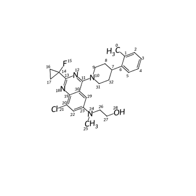 Cc1ccccc1C1CCN(c2nc(C3(F)CC3)nc3c(Cl)cc(N(C)CCO)cc23)CC1